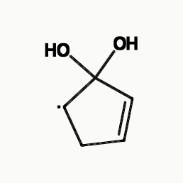 OC1(O)[CH]CC=C1